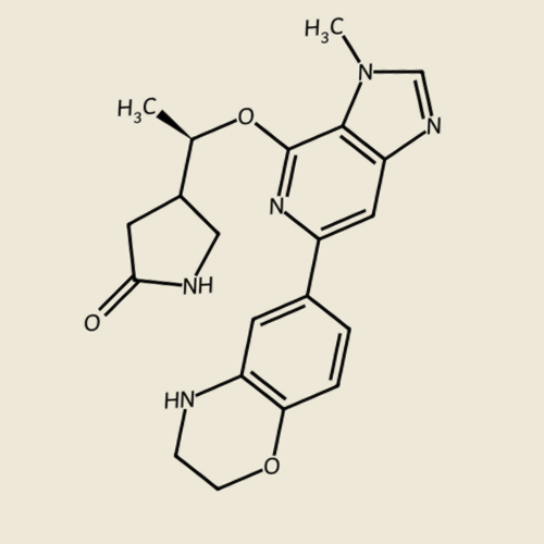 C[C@@H](Oc1nc(-c2ccc3c(c2)NCCO3)cc2ncn(C)c12)C1CNC(=O)C1